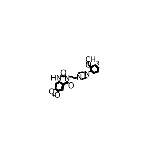 COc1ccccc1N1CCN(CCn2c(=O)[nH]c3cc4c(cc3c2=O)OCO4)CC1